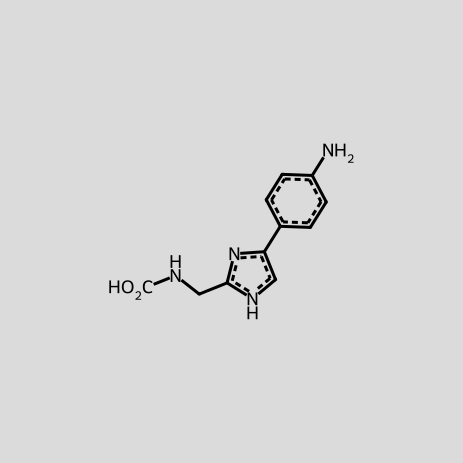 Nc1ccc(-c2c[nH]c(CNC(=O)O)n2)cc1